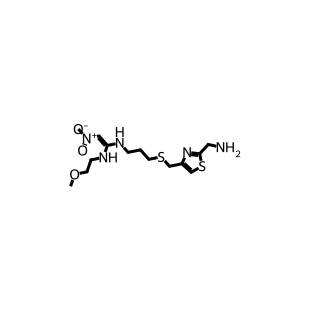 COCCNC(=C[N+](=O)[O-])NCCCSCc1csc(CN)n1